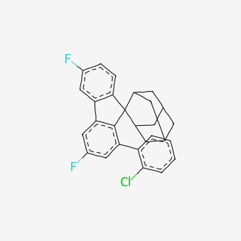 Fc1ccc2c(c1)-c1cc(F)cc(-c3ccccc3Cl)c1C21C2CC3CC(C2)CC1C3